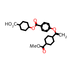 C=C(Oc1ccc(C(=O)OC2CCC(C(=O)O)CC2)cc1)C1CCC(C(=O)OC)CC1